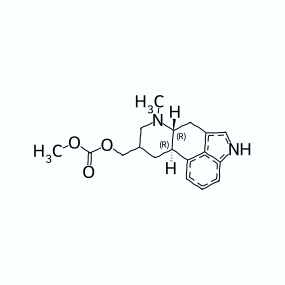 COC(=O)OCC1C[C@@H]2c3cccc4[nH]cc(c34)C[C@H]2N(C)C1